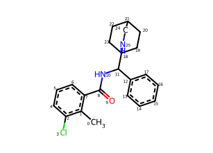 Cc1c(Cl)cccc1C(=O)NC(c1ccccc1)C12CCC(CC1)CN2